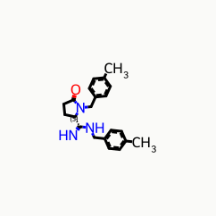 Cc1ccc(CNC(=N)[C@@H]2CCC(=O)N2Cc2ccc(C)cc2)cc1